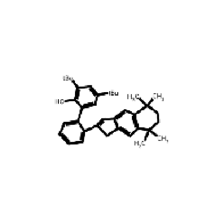 CC(C)(C)c1cc(-c2ccccc2C2=Cc3cc4c(cc3C2)C(C)(C)CCC4(C)C)c(O)c(C(C)(C)C)c1